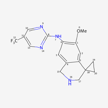 COc1cc2c(cc1Nc1ncc(C(F)(F)F)cn1)CNCC21CC1